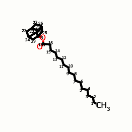 CCCCCCCCCCCCCCCCCC(=O)OC12CC3CC(CC(C3)C1)C2